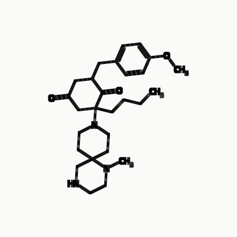 CCCCC1(N2CCC3(CC2)CNCCN3C)CC(=O)CC(Cc2ccc(OC)cc2)C1=O